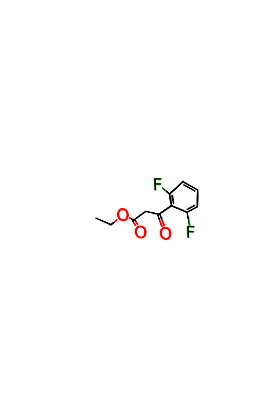 CCOC(=O)CC(=O)c1c(F)cccc1F